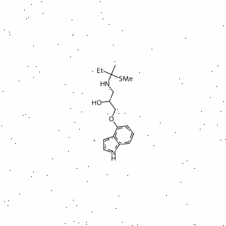 CCC(C)(NCC(O)COc1cccc2[nH]ccc12)SC